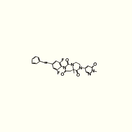 Cn1ncc(N2CCN3C(=O)N(c4c(F)cc(C#Cc5ccccc5)cc4F)C(=O)CC3(C)C2=O)cc1=O